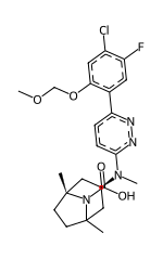 COCOc1cc(Cl)c(F)cc1-c1ccc(N(C)[C@H]2CC3(C)CC[C@](C)(C2)N3C(=O)O)nn1